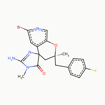 CN1C(=O)C2(C[C@](C)(Cc3ccc(F)cc3)Oc3cnc(Br)cc32)N=C1N